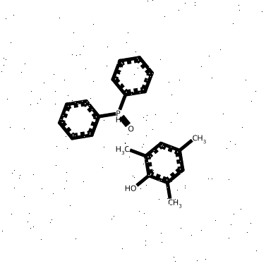 Cc1cc(C)c(O)c(C)c1.O=[PH](c1ccccc1)c1ccccc1